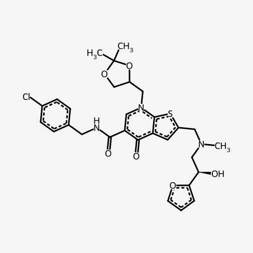 CN(Cc1cc2c(=O)c(C(=O)NCc3ccc(Cl)cc3)cn(CC3COC(C)(C)O3)c2s1)C[C@@H](O)c1ccco1